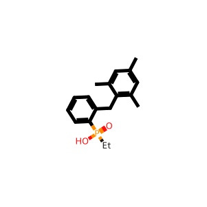 CCP(=O)(O)c1ccccc1Cc1c(C)cc(C)cc1C